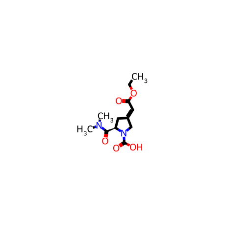 CCOC(=O)/C=C1\C[C@H](C(=O)N(C)C)N(C(=O)O)C1